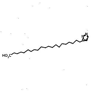 O=C(O)CCCCCCCCCCCCCCCCCCCCn1ccnn1